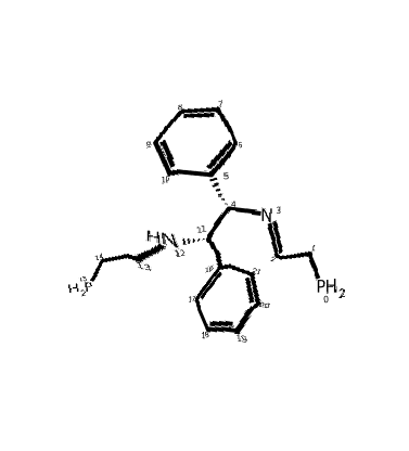 PC/C=N/[C@@H](c1ccccc1)[C@@H](NCCP)c1ccccc1